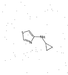 c1nc(NC2CC2)cs1